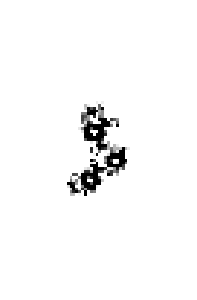 Cc1ccc(NC(=O)c2ccc3c(c2)OCCO3)cc1NC(=O)c1ccc2ncn(C)c(=O)c2c1